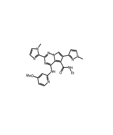 CCNC(=O)c1c(-c2ccn(C)n2)cn2nc(-c3nccn3C)nc(Nc3cc(OC)ccn3)c12